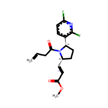 C=CCC(=O)N1[C@@H](/C=C/C(=O)OC)CC[C@H]1c1ccc(F)nc1F